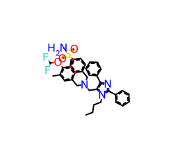 CCCCn1c(-c2ccccc2)nc(-c2ccccc2)c1CN(Cc1ccc(S(N)(=O)=O)cc1)Cc1cc(C)c(OC(F)F)c(C)c1